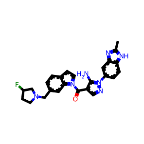 Cc1nc2cc(-n3ncc(C(=O)n4ccc5ccc(CN6CCC(F)C6)cc54)c3N)ccc2[nH]1